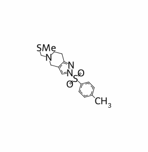 CSCN1CCc2nn(S(=O)(=O)c3ccc(C)cc3)cc2C1